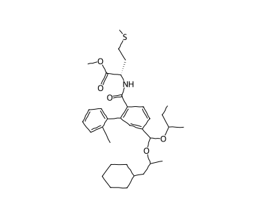 CCC(C)OC(OC(C)CC1CCCCC1)c1ccc(C(=O)N[C@@H](CCSC)C(=O)OC)c(-c2ccccc2C)c1